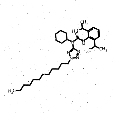 CCCCCCCCCCCCn1nnc(N(C(=O)Nc2c(C(C)C)cccc2C(C)C)C2CCCCC2)n1